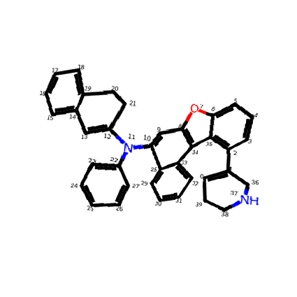 C1=C(c2cccc3oc4cc(N(C5=Cc6ccccc6CC5)c5ccccc5)c5ccccc5c4c23)CNCC1